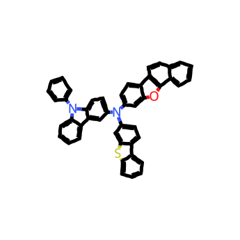 c1ccc(-n2c3ccccc3c3cc(N(c4ccc5c(c4)oc4c6ccccc6ccc54)c4ccc5c(c4)sc4ccccc45)ccc32)cc1